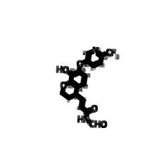 O=CNC(=O)C=CC1CCOc2c1ccc(Oc1ccc(C(F)(F)F)nc1)c2O